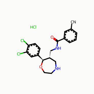 Cl.N#Cc1cccc(C(=O)NC[C@@H]2CNCCO[C@H]2c2ccc(Cl)c(Cl)c2)c1